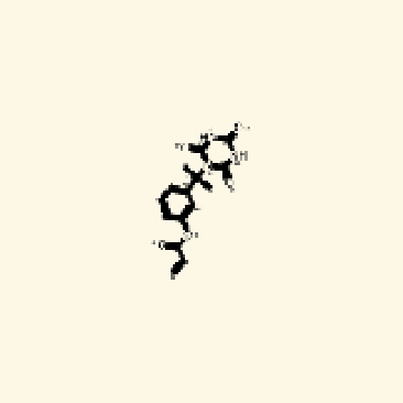 C=CC(=O)Oc1cccc(C(C)(C)n2c(=O)[nH]c(=O)[nH]c2=O)c1